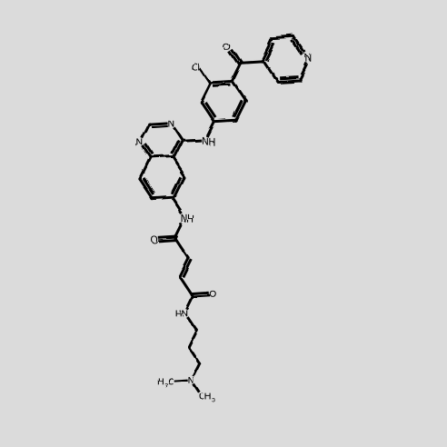 CN(C)CCCNC(=O)C=CC(=O)Nc1ccc2ncnc(Nc3ccc(C(=O)c4ccncc4)c(Cl)c3)c2c1